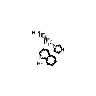 Cn1ccnc1.F.F.F.F.[AlH3].c1ccc2ncccc2c1